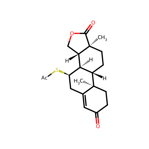 CC(=O)S[C@@H]1CC2=CC(=O)CC[C@]2(C)[C@H]2CC[C@]3(C)C(=O)OC[C@H]3[C@H]12